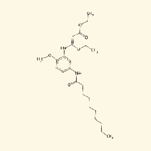 CCCCCCCCCC(=O)Nc1ccc(OC)c(NC(=CC(=O)OCC)OCC)c1